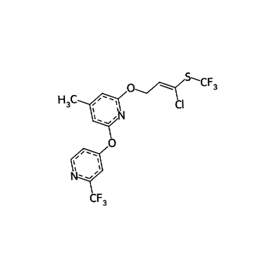 Cc1cc(OCC=C(Cl)SC(F)(F)F)nc(Oc2ccnc(C(F)(F)F)c2)c1